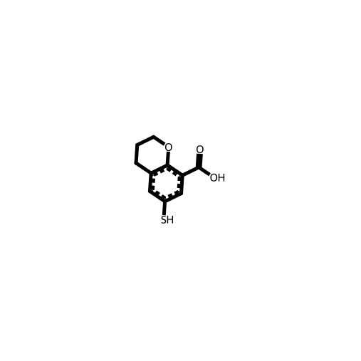 O=C(O)c1cc(S)cc2c1OCCC2